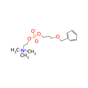 C[N+](C)(C)CCOP(=O)([O-])OCCCOCc1ccccc1